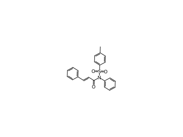 Cc1ccc(S(=O)(=O)N(C(=O)C=Cc2ccccc2)c2ccccc2)cc1